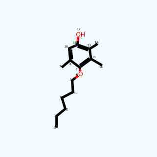 CCCCCCOc1c(C)cc(O)c(C)c1C